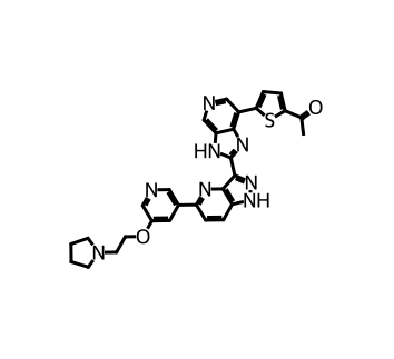 CC(=O)c1ccc(-c2cncc3[nH]c(-c4n[nH]c5ccc(-c6cncc(OCCN7CCCC7)c6)nc45)nc23)s1